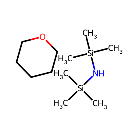 C1CCOCC1.C[Si](C)(C)N[Si](C)(C)C